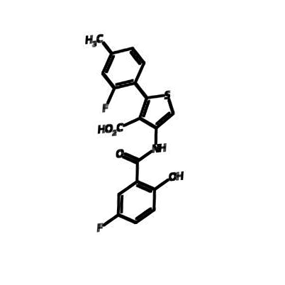 Cc1ccc(-c2scc(NC(=O)c3cc(F)ccc3O)c2C(=O)O)c(F)c1